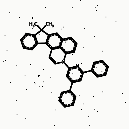 CC1(C)c2ccccc2-c2c1cc1cccc3c1c2C=CN3c1cc(-c2ccccc2)cc(-c2ccccc2)n1